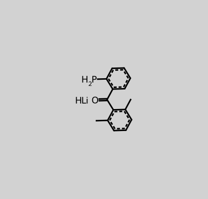 Cc1cccc(C)c1C(=O)c1ccccc1P.[LiH]